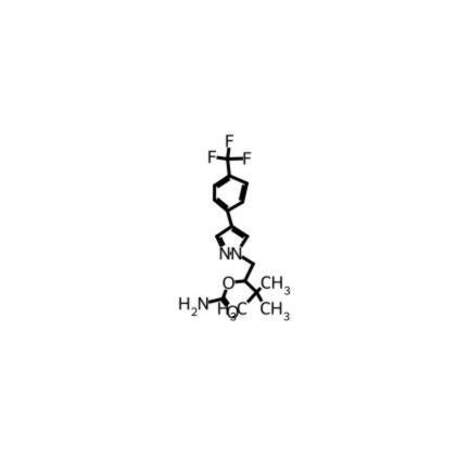 CC(C)(C)C(Cn1cc(-c2ccc(C(F)(F)F)cc2)cn1)OC(N)=O